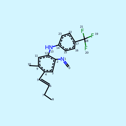 C=Nc1cc(/C=C/CC)c(C)cc1Nc1ccc(C(F)(F)F)cc1